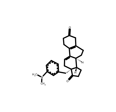 CN(C)c1cccc(C[C@]23CC=C4C5=C(CC[C@H]4[C@@H]2CCC3=O)CC(=O)CC5)c1